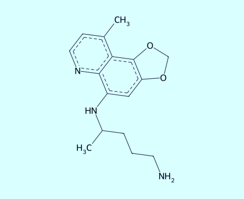 Cc1ccnc2c(NC(C)CCCN)cc3c(c12)OCO3